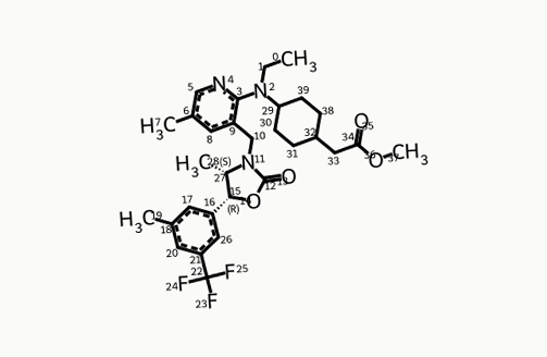 CCN(c1ncc(C)cc1CN1C(=O)O[C@H](c2cc(C)cc(C(F)(F)F)c2)[C@@H]1C)C1CCC(CC(=O)OC)CC1